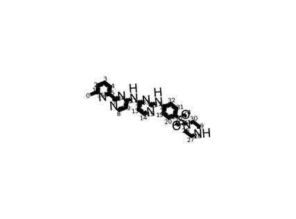 Cc1cccc(-c2nccc(Nc3ccnc(Nc4ccc(S(=O)(=O)N5CCNCC5)cc4)n3)n2)n1